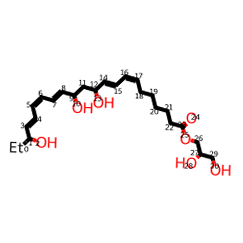 CCC(O)/C=C/C=C\C=C\C(O)CC(O)/C=C/C=C\CCCCCC(=O)OCC(O)CO